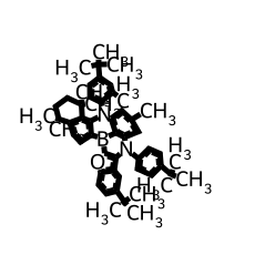 Cc1cc2c3c(c1)N(c1ccc(C(C)(C)C)cc1)c1c(oc4ccc(C(C)(C)C)cc14)B3c1ccc3c(c1N2c1ccc(C(C)(C)C)cc1C)C(C)(C)CCC3(C)C